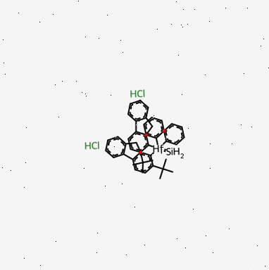 CC(C)(C)c1ccc2c([c]1[Hf](=[SiH2])([c]1ccccc1)([c]1ccccc1)[c]1c(C(C)(C)C)ccc3c1Cc1ccccc1-3)Cc1ccccc1-2.Cl.Cl